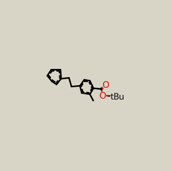 Cc1cc(CCc2ccccc2)ccc1C(=O)OC(C)(C)C